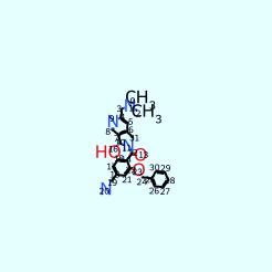 CN(C)Cc1cc2c(cn1)CN(C(=O)c1c(O)cc(C#N)cc1OCc1ccccc1)C2